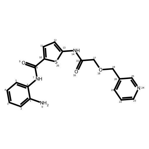 Nc1ccccc1NC(=O)c1ccc(NC(=O)COCc2cccnc2)s1